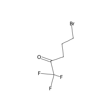 O=C(CCCBr)C(F)(F)F